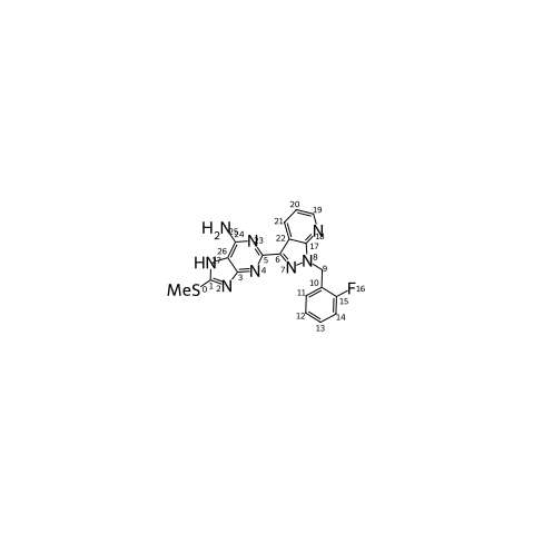 CSc1nc2nc(-c3nn(Cc4ccccc4F)c4ncccc34)nc(N)c2[nH]1